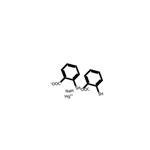 O=C([O-])c1ccccc1S.O=C([O-])c1ccccc1S.[Hg+2].[NaH]